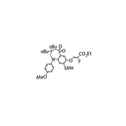 CCCCC1(CCCC)CN(c2ccc(OC)cc2)c2cc(SC)c(O/C=C(\F)C(=O)OCC)cc2S(=O)(=O)C1